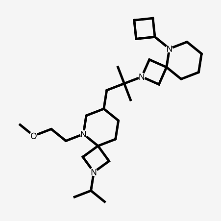 COCCN1CC(CC(C)(C)N2CC3(CCCCN3C3CCC3)C2)CCC12CN(C(C)C)C2